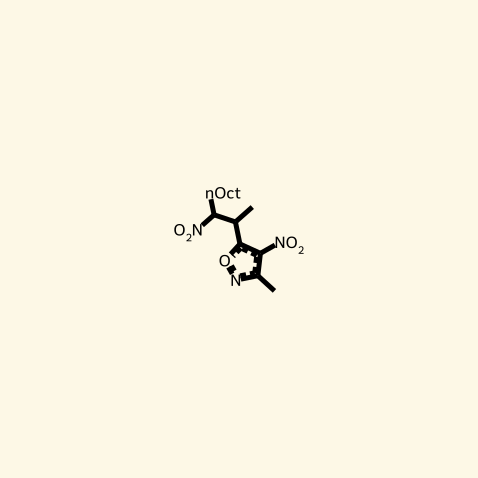 CCCCCCCCC(C(C)c1onc(C)c1[N+](=O)[O-])[N+](=O)[O-]